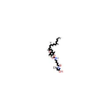 CC[C@@H]1C[C@@H](O)CN1C(=O)CCCCCNC(=O)OC1C(C)=C2CC[C@@](C)(CCC[C@H](C)CCC[C@H](C)CCCC(C)C)OC2=C(C)[C@@H]1C